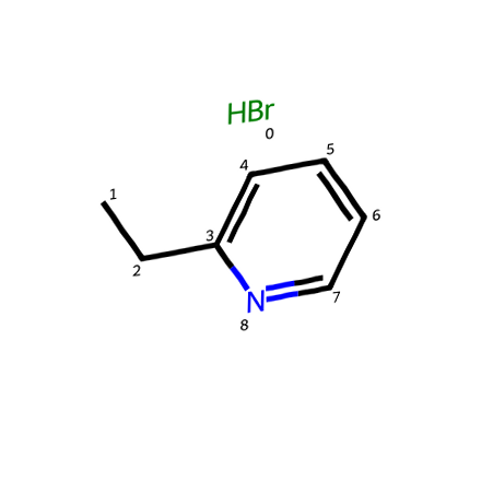 Br.CCc1ccccn1